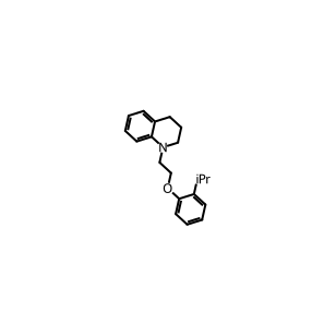 CC(C)c1ccccc1OCCN1CCCc2ccccc21